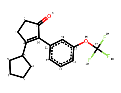 O=C1CCC(C2CCCC2)=C1c1cccc(OC(F)(F)F)c1